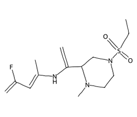 C=C(F)/C=C(\C)NC(=C)C1CN(S(=O)(=O)CC)CCN1C